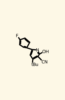 CC(C)(C)c1cc(-c2ccc(F)cc2)nc(O)c1C#N